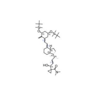 C=C1/C(=C/C=C2\CCC[C@]3(C)[C@@H]([C@H](C)/C=C/[C@H](O)C4(C(=O)N(C)C)CC4)CC[C@@H]23)C[C@H](O[Si](C)(C)C(C)(C)C)C[C@@H]1O[Si](C)(C)C(C)(C)C